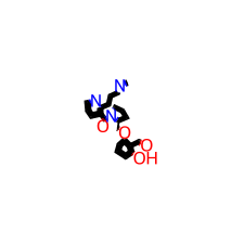 C=NCCCc1ncccc1C(=O)N1CCC[C@H]1COc1cccc(O)c1C=O